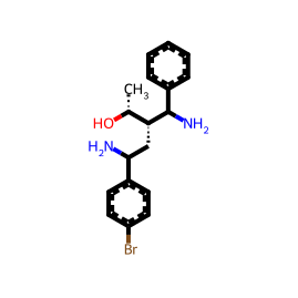 C[C@@H](O)[C@@H](CC(N)c1ccc(Br)cc1)C(N)c1ccccc1